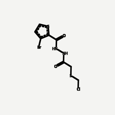 O=C(CSCCl)NNC(=O)c1sccc1Br